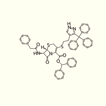 O=C(Cc1ccccc1)N[C@@H]1C(=O)N2C(C(=O)OC(c3ccccc3)c3ccccc3)=C(SCCc3c[nH]nc3C(c3ccccc3)(c3ccccc3)c3ccccc3)CS[C@@H]12